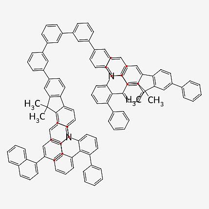 CC1(C)c2cc(-c3ccccc3)ccc2-c2ccc(N(c3ccc(-c4cccc(-c5cccc(-c6cccc(-c7ccc8c(c7)C(C)(C)c7cc(N(c9ccc(-c%10cccc%11ccccc%10%11)cc9)c9cccc(-c%10ccccc%10)c9-c9ccccc9-c9ccccc9)ccc7-8)c6)c5)c4)cc3)c3cccc(-c4ccccc4)c3-c3ccccc3-c3ccccc3)cc21